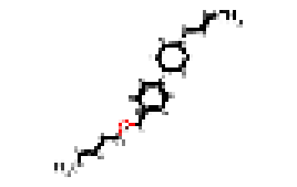 CC=CC[C@H]1CC[C@H](c2ccc(COCCCCC)cc2)CC1